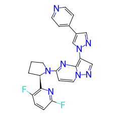 Fc1ccc(F)c([C@H]2CCCN2c2ccn3ncc(-n4cc(-c5ccncc5)cn4)c3n2)n1